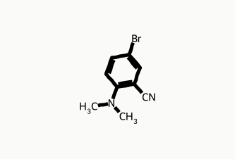 CN(C)c1ccc(Br)cc1C#N